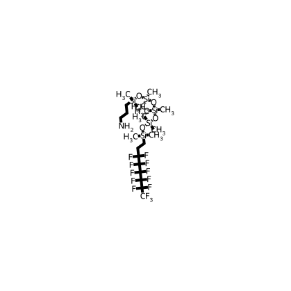 C[Si](C)(CCCN)O[Si](C)(C)O[Si](C)(C)O[Si](C)(C)O[Si](C)(C)CCC(F)(F)C(F)(F)C(F)(F)C(F)(F)C(F)(F)C(F)(F)F